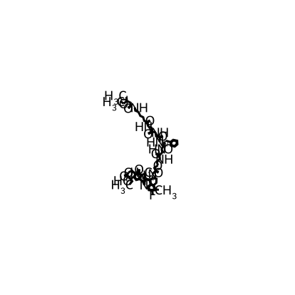 CCC(CC(=O)NCCCCCC(=O)NCC(=O)NCC(=O)N[C@@H](Cc1ccccc1)C(=O)NCC(=O)NCOCC(=O)N(C)[C@H]1CCc2c(C)c(F)cc3nc4c(c1c23)Cn1c-4cc2c(c1=O)COC(=O)[C@]2(O)CC)OC